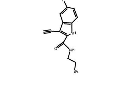 C#Cc1c(C(=O)NCCC(C)C)[nH]c2ccc(F)cc12